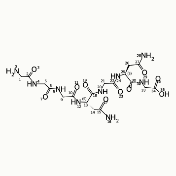 NCC(=O)NCC(=O)NCC(=O)N[C@@H](CC(N)=O)C(=O)NCC(=O)N[C@@H](CC(N)=O)C(=O)NCC(=O)O